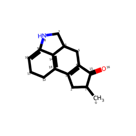 CC1CC2=C(CC3CNC4=CCCC2=C43)C1=O